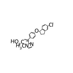 Cn1ccnc1[C@@H](CC(=O)O)c1ccc(OC2CCc3cc(Cl)ccc32)cc1